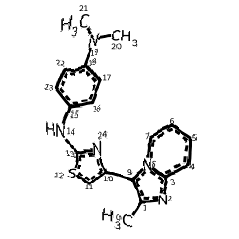 Cc1nc2ccccn2c1-c1csc(Nc2ccc(N(C)C)cc2)n1